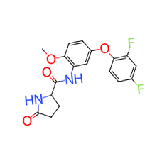 COc1ccc(Oc2ccc(F)cc2F)cc1NC(=O)C1CCC(=O)N1